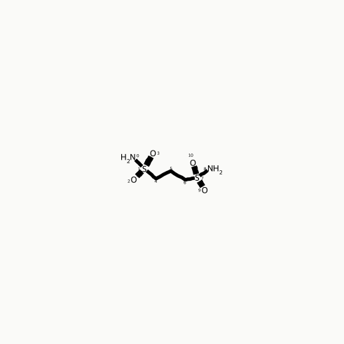 NS(=O)(=O)CCCS(N)(=O)=O